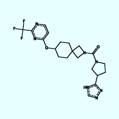 O=C(N1CCC(c2nnc[nH]2)C1)N1CC2(CCC(Oc3ccnc(C(F)(F)F)n3)CC2)C1